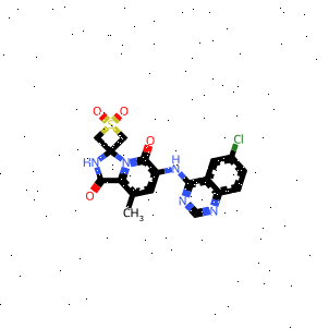 Cc1cc(Nc2ncnc3ccc(Cl)cc23)c(=O)n2c1C(=O)NC21CS(=O)(=O)C1